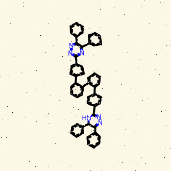 c1ccc(C2=NN=C(c3ccc(-c4ccccc4-c4ccccc4-c4ccc(-c5nnc(-c6ccccc6)c(-c6ccccc6)n5)cc4)cc3)NC2c2ccccc2)cc1